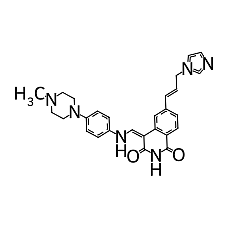 CN1CCN(c2ccc(NC=C3C(=O)NC(=O)c4ccc(C=CCn5ccnc5)cc43)cc2)CC1